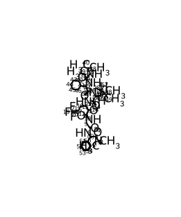 CN(C)C(=O)[C@@H](NC(=O)CNC(=O)C(=O)C(CCC(F)(F)F)NC(=O)[C@@H]1[C@@H]2[C@H](CN1C(=O)[C@@H](NC(=O)NC(C)(C)C)C1CCCCC1)C2(C)C)c1ccccc1